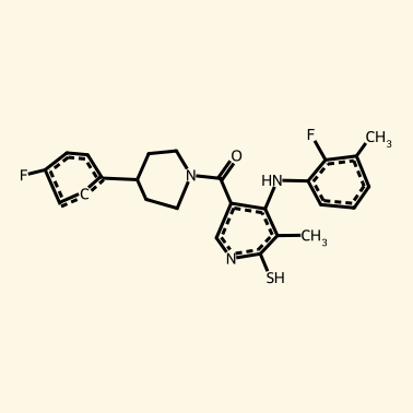 Cc1cccc(Nc2c(C(=O)N3CCC(c4ccc(F)cc4)CC3)cnc(S)c2C)c1F